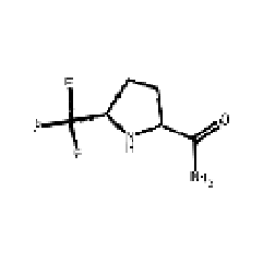 NC(=O)C1CCC(C(F)(F)F)N1